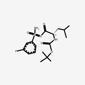 CC(C)C[C@H](NC(=O)OC(C)(C)C)C(=O)N=S(N)(=O)c1cccc(F)c1